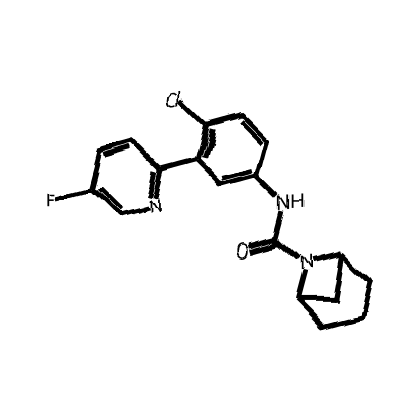 O=C(Nc1ccc(Cl)c(-c2ccc(F)cn2)c1)N1C2CCCC1C2